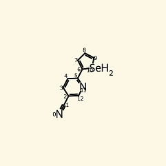 N#Cc1ccc(C2=CC=C[SeH2]2)nc1